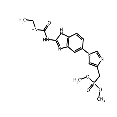 CCNC(=O)Nc1nc2cc(-n3cnc(CP(=O)(OC)OC)c3)ccc2[nH]1